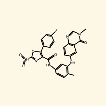 Cc1ccc(NC(=O)c2nc([SH](=O)=O)oc2-c2ccc(F)cc2)cc1Nc1ccc2ncn(C)c(=O)c2c1